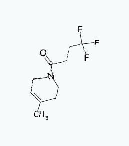 CC1=CCN(C(=O)CCC(F)(F)F)CC1